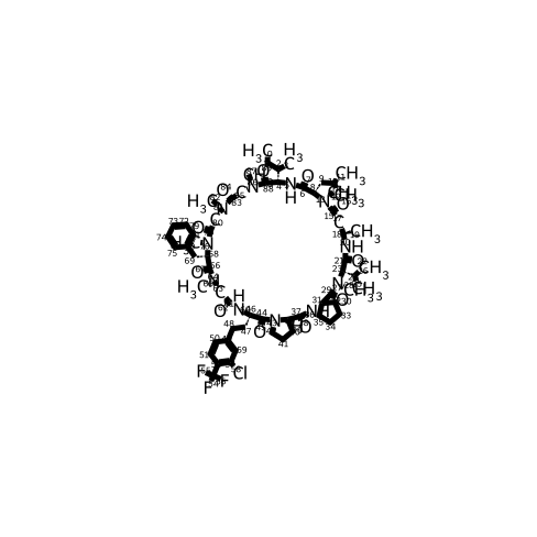 CCC(C)[C@@H]1NC(=O)[C@H](CC(C)C)N(C)C(=O)C[C@@H](C)NC(=O)[C@H](C(C)C)N(C)C(=O)C2(CCCC2)NC(=O)[C@@H]2CCCN2C(=O)[C@H](CCc2ccc(C(F)(F)F)c(Cl)c2)NC(=O)CN(C)C(=O)[C@H](Cc2ccccc2)N(C)C(=O)CN(C)C(=O)CN(C)C1=O